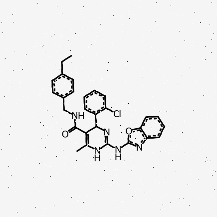 CCc1ccc(CNC(=O)C2=C(C)NC(Nc3nc4ccccc4o3)=NC2c2ccccc2Cl)cc1